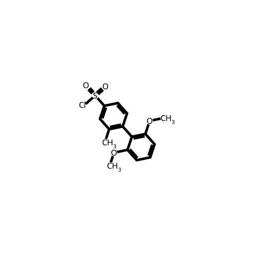 COc1cccc(OC)c1-c1ccc(S(=O)(=O)Cl)cc1C